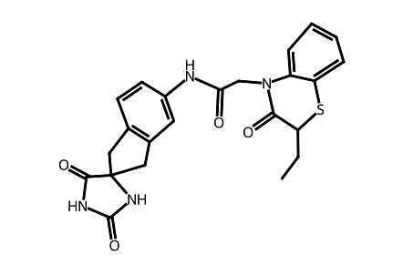 CCC1Sc2ccccc2N(CC(=O)Nc2ccc3c(c2)CC2(C3)NC(=O)NC2=O)C1=O